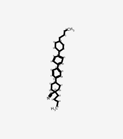 CCCCC1CCC(c2ccc(-c3ccc(C4CCC(C#N)(CCCC)CC4)cc3)cc2)CC1